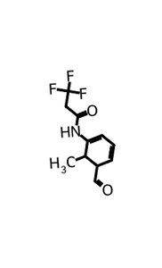 CC1C(NC(=O)CC(F)(F)F)=CC=CC1C=O